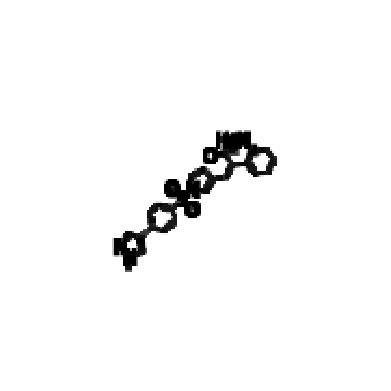 Cn1cc(-c2ccc(S(=O)(=O)n3ccc(/C=C(\C(N)=O)c4ccccc4N)c3)cc2)cn1